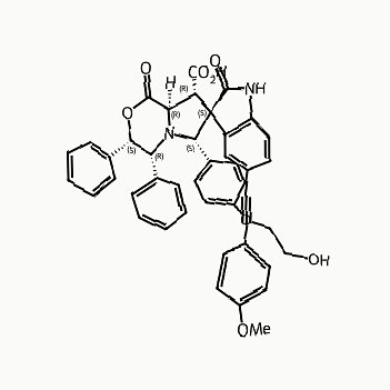 COc1ccc(C#Cc2ccc3c(c2)[C@]2(C(=O)N3)[C@H](c3ccc(OCCO)cc3)N3[C@H](c4ccccc4)[C@H](c4ccccc4)OC(=O)[C@H]3[C@@H]2C(=O)O)cc1